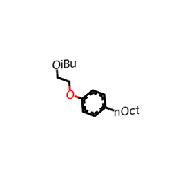 CCCCCCCCc1ccc(OCCOCC(C)C)cc1